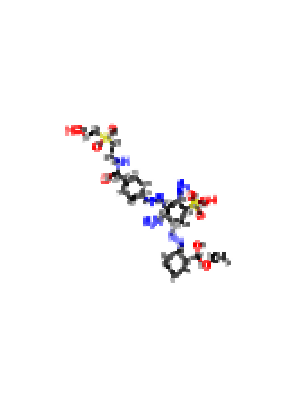 COC(=O)c1ccccc1/N=N/c1cc(S(=O)(=O)O)c(N)c(/N=N/c2ccc(C(=O)NCCS(=O)(=O)CCO)cc2)c1N